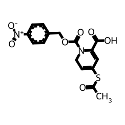 CC(=O)SC1=CCN(C(=O)OCc2ccc([N+](=O)[O-])cc2)C(C(=O)O)=C1